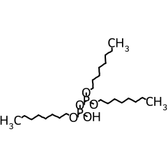 CCCCCCCCOP(O)OP(OCCCCCCCC)OCCCCCCCC